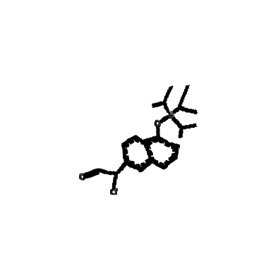 CC(C)[Si](Oc1cccc2cc(C(Cl)C=O)ccc12)(C(C)C)C(C)C